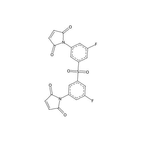 O=C1C=CC(=O)N1c1cc(F)cc(S(=O)(=O)c2cc(F)cc(N3C(=O)C=CC3=O)c2)c1